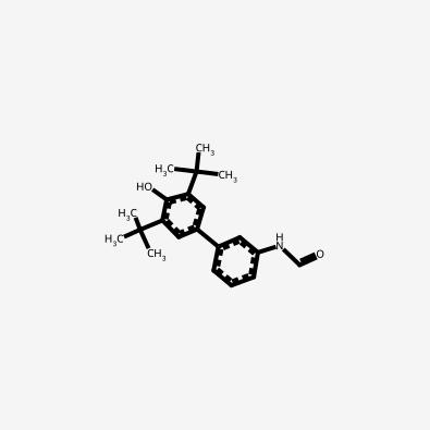 CC(C)(C)c1cc(-c2cccc(NC=O)c2)cc(C(C)(C)C)c1O